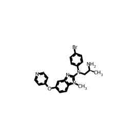 C[C@H](N)CN(c1ccc(Br)cc1)c1nc2cc(Oc3c[c]ncc3)ccc2n1C